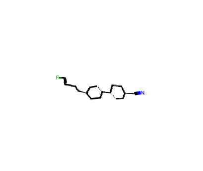 N#C[C@H]1CC[C@H]([C@H]2CC[C@H](CCC=CF)CC2)CC1